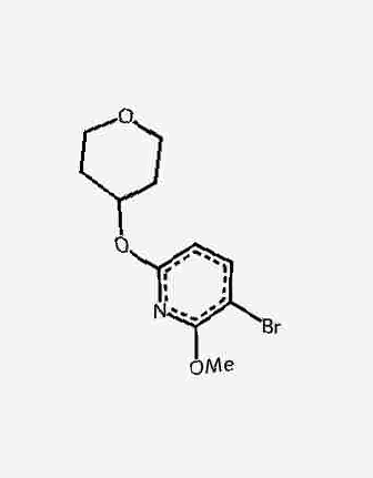 COc1nc(OC2CCOCC2)ccc1Br